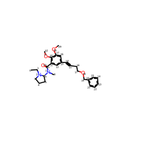 CCN1CCC[C@@H]1N(C)C(=O)c1cc(C#CCCOCc2ccccc2)cc(OC)c1OC